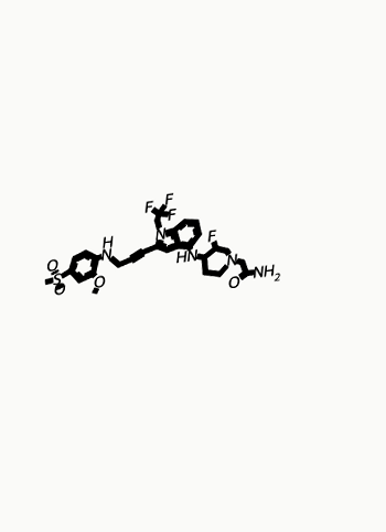 COc1cc(S(C)(=O)=O)ccc1NCC#Cc1cc2c(NC3CCN(CC(N)=O)CC3F)cccc2n1CC(F)(F)F